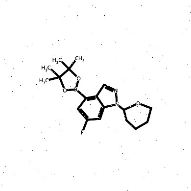 CC1(C)OB(c2cc(F)cc3c2cnn3C2CCCCO2)OC1(C)C